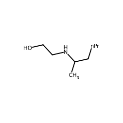 CCCCC(C)NCCO